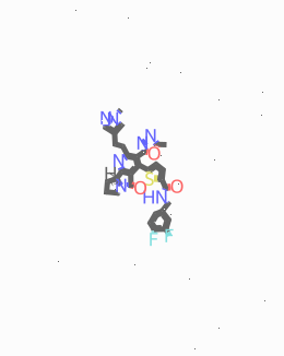 Cc1nnc(-c2c(CCc3cnn(C)c3)nc3c(c2-c2ccc(C(=O)NCc4ccc(F)c(F)c4)s2)C(=O)N2CCC[C@@H]32)o1